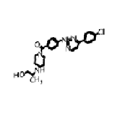 C[C@@H](CO)NC1CCN(C(=O)c2ccc(Nc3nccc(-c4ccc(Cl)cc4)n3)cc2)CC1